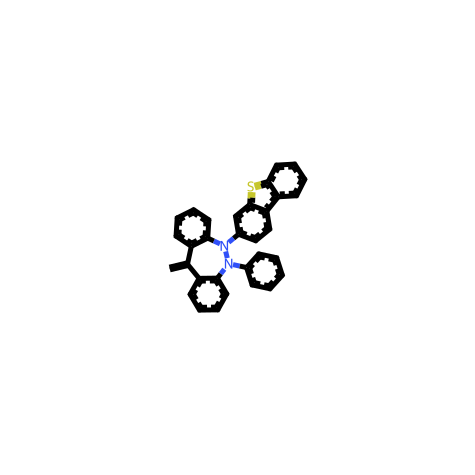 C=C1c2ccccc2N(c2ccccc2)N(c2ccc3c(c2)sc2ccccc23)c2ccccc21